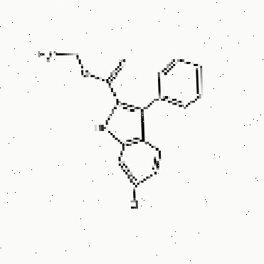 CCOC(=O)c1[nH]c2cc(Cl)ccc2c1-c1ccccc1